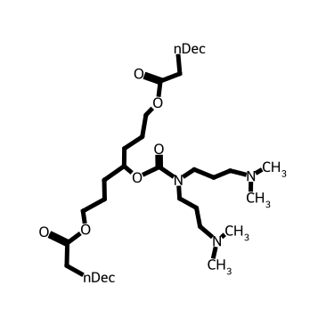 CCCCCCCCCCCC(=O)OCCCC(CCCOC(=O)CCCCCCCCCCC)OC(=O)N(CCCN(C)C)CCCN(C)C